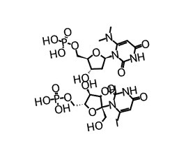 CN(C)c1cc(=O)[nH]c(=O)n1[C@H]1C[C@H](O)[C@@H](COP(=O)(O)O)O1.O=c1cc(I)n([C@]2(CO)O[C@H](COP(=O)(O)O)[C@@H](O)[C@H]2O)c(=O)[nH]1